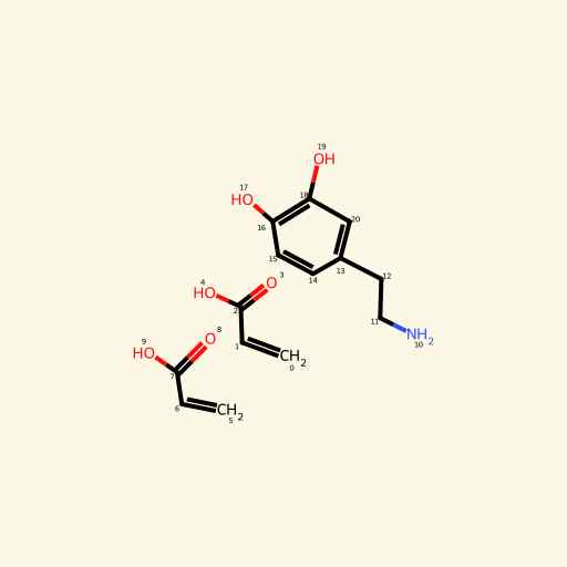 C=CC(=O)O.C=CC(=O)O.NCCc1ccc(O)c(O)c1